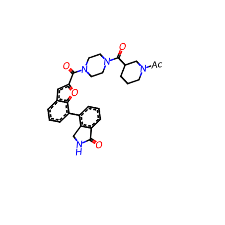 CC(=O)N1CCCC(C(=O)N2CCN(C(=O)c3cc4cccc(-c5cccc6c5CNC6=O)c4o3)CC2)C1